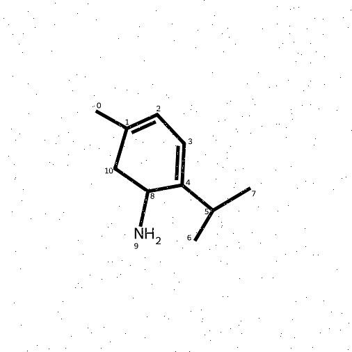 CC1=CC=C(C(C)C)C(N)C1